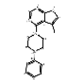 Cc1csc2ncnc(N3CCN(c4ccccc4)CC3)c12